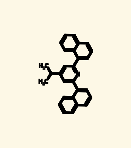 CC(C)c1cc(-c2cccc3ccccc23)nc(-c2cccc3ccccc23)c1